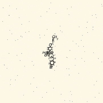 CC#CCOc1ccc(S(=O)(=O)C2(C(=O)O)CCN(Cc3ccc(Br)cc3)CC2)cc1